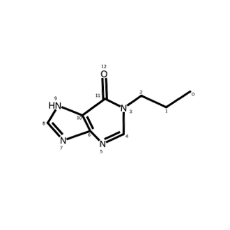 CCCn1cnc2nc[nH]c2c1=O